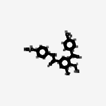 CCOc1c(Br)cc(C(=O)Nc2ccc(C(=O)O)cc2)cc1C(=O)c1ccc(C)cc1